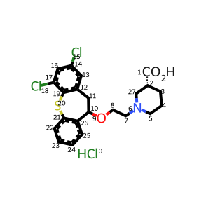 Cl.O=C(O)[C@@H]1CCCN(CCOC2Cc3cc(Cl)cc(Cl)c3Sc3ccccc32)C1